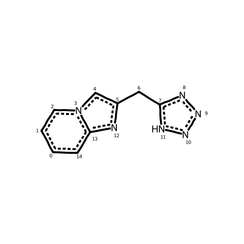 c1ccn2cc(Cc3nnn[nH]3)nc2c1